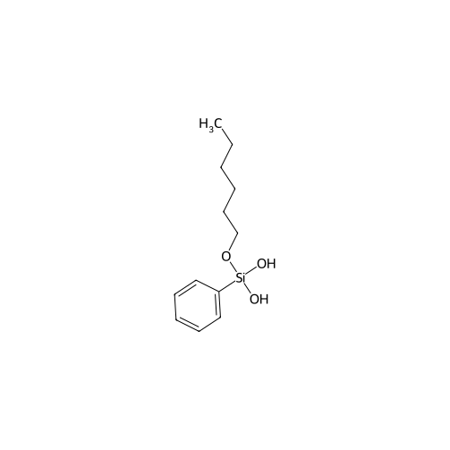 CCCCCCO[Si](O)(O)c1ccccc1